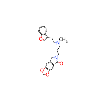 CN(CCCN1Cc2cc3c(cc2C1=O)OCO3)CCc1coc2ccccc12